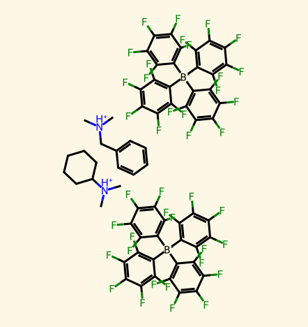 C[NH+](C)C1CCCCC1.C[NH+](C)Cc1ccccc1.Fc1c(F)c(F)c([B-](c2c(F)c(F)c(F)c(F)c2F)(c2c(F)c(F)c(F)c(F)c2F)c2c(F)c(F)c(F)c(F)c2F)c(F)c1F.Fc1c(F)c(F)c([B-](c2c(F)c(F)c(F)c(F)c2F)(c2c(F)c(F)c(F)c(F)c2F)c2c(F)c(F)c(F)c(F)c2F)c(F)c1F